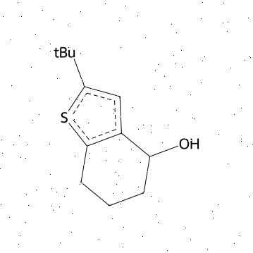 CC(C)(C)c1cc2c(s1)CCCC2O